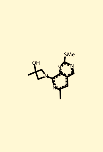 CSc1ncc2cc(C)nc(N3CC(C)(O)C3)c2n1